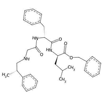 CC(C)C[C@@H](NC(=O)[C@@H](Cc1ccccc1)NC(=O)CNC[C@@H](C)c1ccccc1)C(=O)OCc1ccccc1